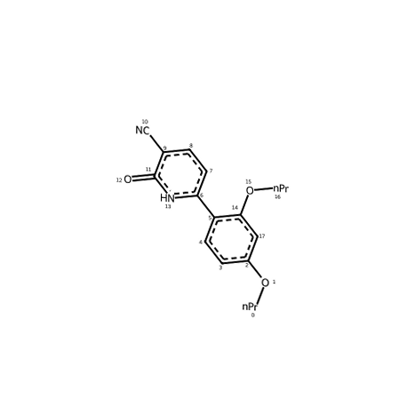 CCCOc1ccc(-c2ccc(C#N)c(=O)[nH]2)c(OCCC)c1